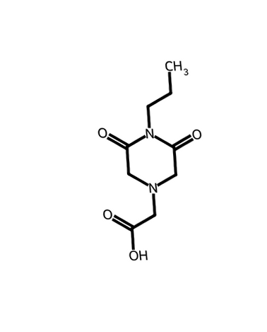 CCCN1C(=O)CN(CC(=O)O)CC1=O